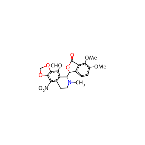 COc1ccc2c(c1OC)C(=O)O[C@@H]2[C@H]1c2c(C=O)c3c(c([N+](=O)[O-])c2CCN1C)OCO3